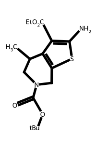 CCOC(=O)c1c(N)sc2c1C(C)CN(C(=O)OC(C)(C)C)C2